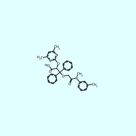 Cc1cccc(N(C)C(=O)COC(c2ccccc2)(c2ccccc2)[C@H](Oc2nc(C)cc(C)n2)C(=O)O)c1